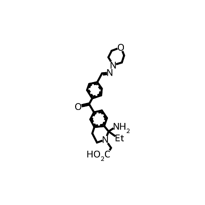 CCC1(N)c2ccc(C(=O)c3ccc(C=NN4CCOCC4)cc3)cc2CCN1CC(=O)O